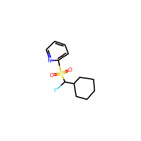 O=S(=O)(c1ccccn1)C(F)C1CCCCC1